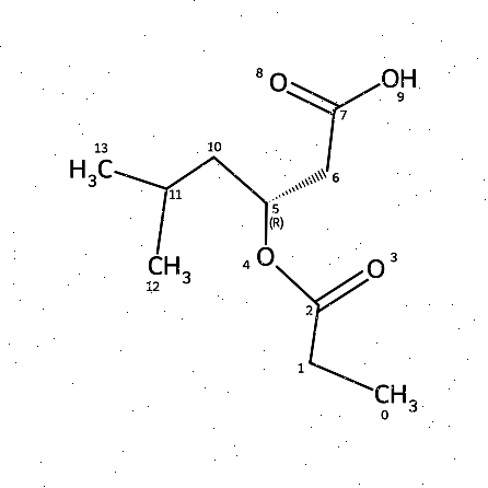 CCC(=O)O[C@@H](CC(=O)O)CC(C)C